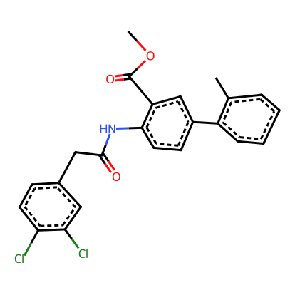 COC(=O)c1cc(-c2ccccc2C)ccc1NC(=O)Cc1ccc(Cl)c(Cl)c1